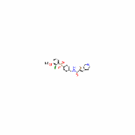 CCOc1cccc(S(=O)(=O)c2ccc(CNC(=O)c3cc4ccncc4s3)cc2)c1F